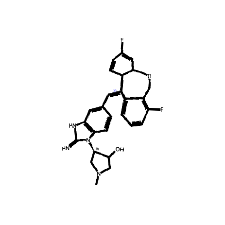 CN1CC(O)[C@H](n2c(=N)[nH]c3cc(/C=C4\c5cccc(F)c5COC5C=C(F)C=CC45)ccc32)C1